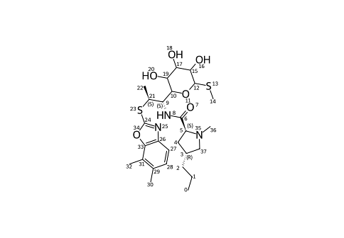 CCC[C@@H]1C[C@@H](C(=O)N[C@@H](C2OC(SC)C(O)C(O)C2O)[C@H](C)Sc2nc3ccc(C)c(C)c3o2)N(C)C1